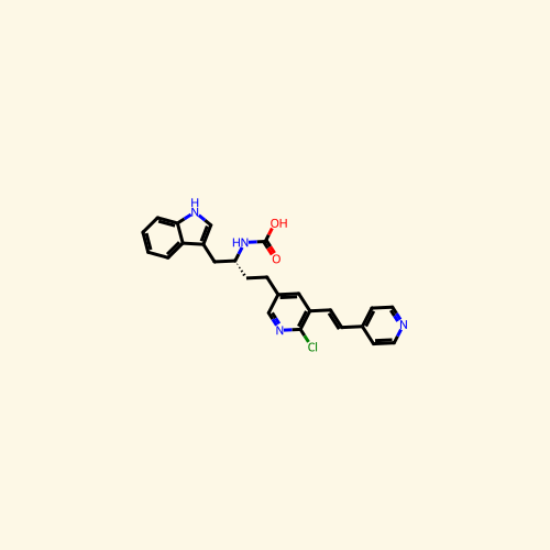 O=C(O)N[C@H](CCc1cnc(Cl)c(/C=C/c2ccncc2)c1)Cc1c[nH]c2ccccc12